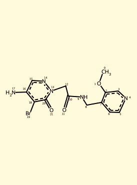 COc1cnccc1CNC(=O)Cn1ncc(N)c(Br)c1=O